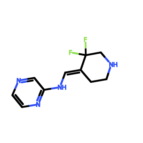 FC1(F)CNCC/C1=C\Nc1cnccn1